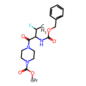 CCCOC(=O)N1CCN(C(=O)C(NC(=O)OCc2ccccc2)C(C)F)CC1